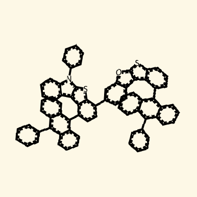 c1ccc(-c2c3ccccc3c(-c3cccc4sc5oc6cc(-c7ccc(-c8c9ccccc9c(-c9ccccc9)c9ccccc89)c8c7sc7c8c8ccccc8n7-c7ccccc7)ccc6c5c34)c3ccccc23)cc1